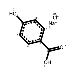 O=C(O)c1ccc(O)cc1.[Cl-].[Na+]